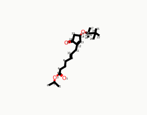 CC(C)OC(=O)CCCC=CCC1=CC(O[Si](C)(C)C(C)(C)C)CC1=O